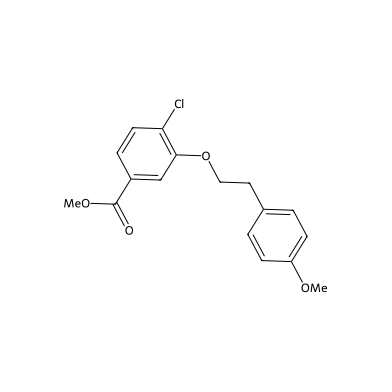 COC(=O)c1ccc(Cl)c(OCCc2ccc(OC)cc2)c1